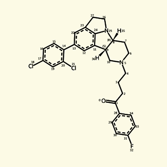 O=C(CCCN1CC[C@@H]2[C@H](C1)c1cc(-c3ccc(Cl)cc3Cl)cc3c1N2CC3)c1ccc(F)cc1